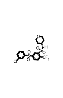 O=S(=O)(NC1CCOCC1)c1cc(S(=O)(=O)c2cccc(Cl)c2)ccc1C(F)(F)F